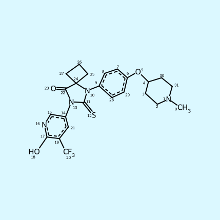 CN1CCC(Oc2ccc(N3C(=S)N(c4cnc(O)c(C(F)(F)F)c4)C(=O)C34CCC4)cc2)CC1